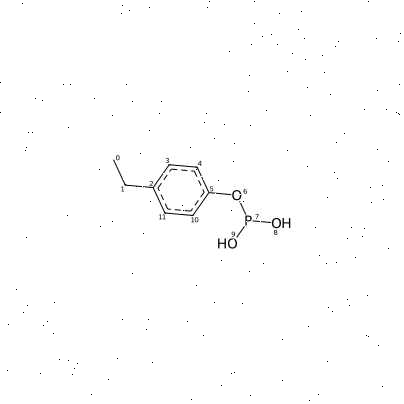 CCc1ccc(OP(O)O)cc1